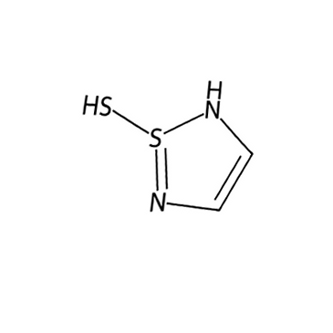 SS1=NC=CN1